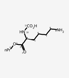 CCCOC(=O)[C@H](CCCCN)NC(=O)O